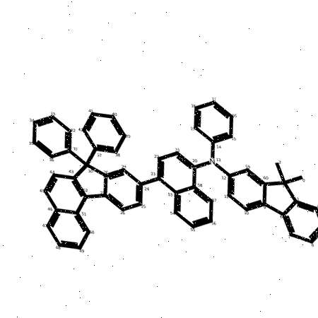 CC1(C)c2ccccc2-c2ccc(N(c3ccccc3)c3ccc(-c4ccc5c(c4)C(c4ccccc4)(c4ccccc4)c4ccc6ccccc6c4-5)c4ccccc34)cc21